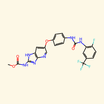 COC(=O)Nc1nc2ncc(Oc3ccc(NC(=O)Nc4cc(C(F)(F)F)ccc4F)cc3)cc2[nH]1